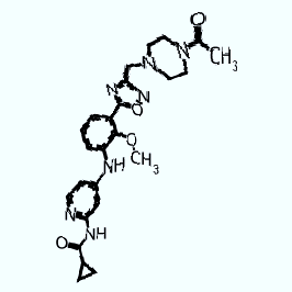 COc1c(Nc2ccnc(NC(=O)C3CC3)c2)cccc1-c1nc(CN2CCN(C(C)=O)CC2)no1